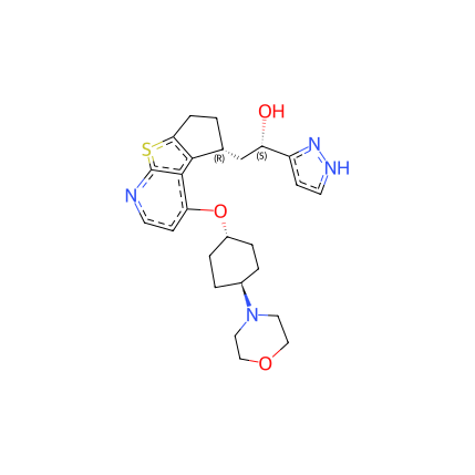 O[C@@H](C[C@H]1CCc2sc3nccc(O[C@H]4CC[C@H](N5CCOCC5)CC4)c3c21)c1cc[nH]n1